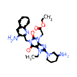 CCOC(=O)Cn1c(=O)n(Cc2nc3ccccc3cc2N)c(=O)c2c1nc(N1CCCC(N)C1)n2CC